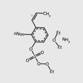 C/C=C\c1cccc(OS(=O)(=O)OOCC)c1CCCCCCCCC.CCOCC.N